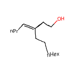 CCC/C=C(/CCO)CCCCCCCC